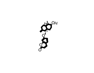 C=C1CC[C@@H]2[C@@H](C)[C@H](O)CC[C@@]2(C)[C@@H]1COc1ccc2ccc(=O)oc2c1